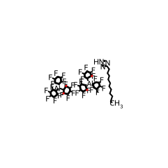 CCCCCCCCCCCc1nc[nH]n1.Fc1c(F)c(F)[c]([Al]([c]2c(F)c(F)c(F)c(F)c2F)[c]2c(F)c(F)c(F)c(F)c2F)c(F)c1F.Fc1c(F)c(F)[c]([Al]([c]2c(F)c(F)c(F)c(F)c2F)[c]2c(F)c(F)c(F)c(F)c2F)c(F)c1F